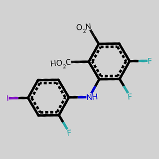 O=C(O)c1c([N+](=O)[O-])cc(F)c(F)c1Nc1ccc(I)cc1F